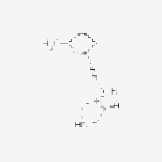 Cc1cccc(C#Cc2nnc3n2CCNC3)c1